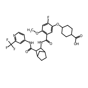 COc1cc(F)c(OC2CCC(C(=O)O)CC2)cc1C(=O)NC1C2CCC(C2)C1C(=O)Nc1ccnc(C(F)(F)F)c1